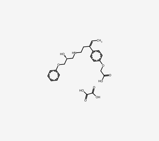 C/C=C(/CCNC[C@H](O)COc1ccccc1)c1ccc(OCC(=O)O)cc1.O=C(O)C(=O)O